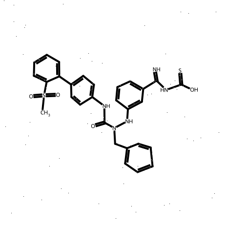 CS(=O)(=O)c1ccccc1-c1ccc(NC(=O)N(Cc2ccccc2)Nc2cccc(C(=N)NC(O)=S)c2)cc1